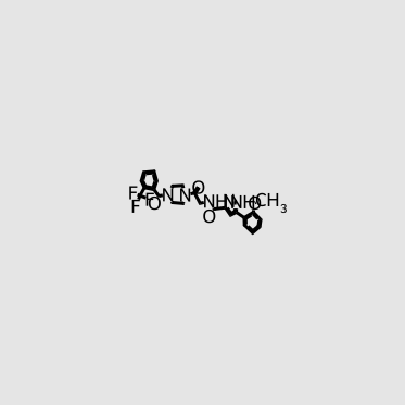 COc1ccccc1-c1cc(C(=O)NCC(=O)N2CCN(C(=O)c3ccccc3C(F)(F)F)CC2)n[nH]1